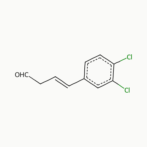 O=CCC=Cc1ccc(Cl)c(Cl)c1